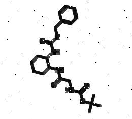 CC(C)(C)OC(=O)NCC(=O)NC1CCCCC1NC(=O)OCc1ccccc1